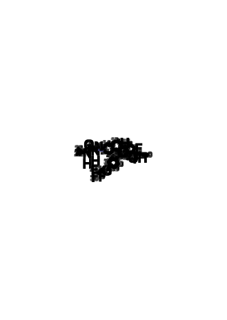 C#CC(F)(F)[C@]1(O)CC[C@H]2[C@@H]3CCC4=C/C(=N/NC(=O)NC5CC5)CCC4=C3[C@H](c3ccc(OCC(F)(F)F)cc3)C[C@@]21C